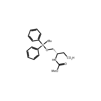 COC(=O)N[C@H](CO[Si](c1ccccc1)(c1ccccc1)C(C)(C)C)CC(=O)O